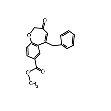 COC(=O)c1ccc2c(c1)C(Cc1ccccc1)=CC(=O)CO2